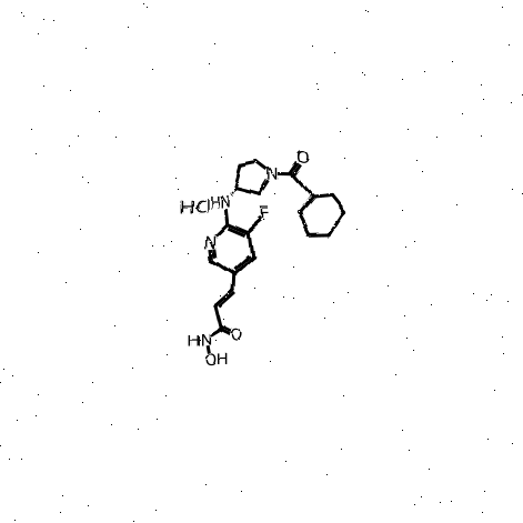 Cl.O=C(C=Cc1cnc(N[C@@H]2CCN(C(=O)C3CCCCC3)C2)c(F)c1)NO